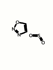 O=S=O.c1conn1